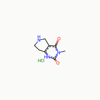 Cl.Cn1c(=O)[nH]c2c(c1=O)CNCC2